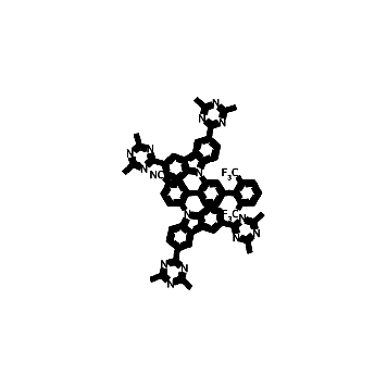 Cc1nc(C)nc(-c2ccc3c(c2)c2cc(-c4nc(C)nc(C)n4)ccc2n3-c2ccc(C#N)cc2-c2ccc(-c3c(C(F)(F)F)cccc3C(F)(F)F)cc2-n2c3ccc(-c4nc(C)nc(C)n4)cc3c3cc(-c4nc(C)nc(C)n4)ccc32)n1